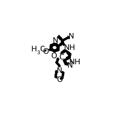 COc1cc2ncc(C#N)c(Nc3ccc4cn[nH]c4c3)c2cc1OCCCN1CCOCC1